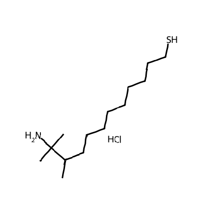 CC(CCCCCCCCCS)C(C)(C)N.Cl